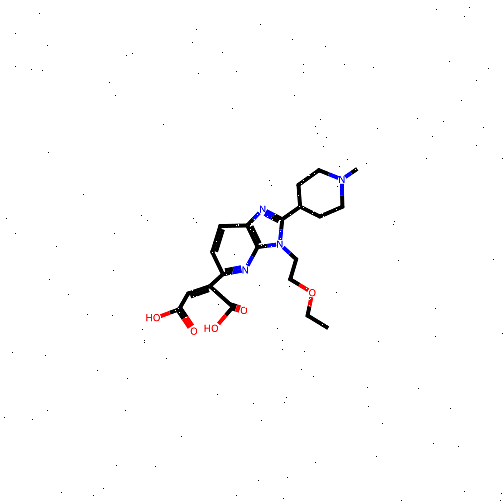 CCOCCn1c(C2CCN(C)CC2)nc2ccc(/C(=C/C(=O)O)C(=O)O)nc21